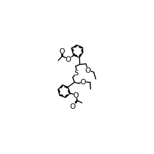 CCOCC(CSCC(COCC)c1ccccc1OC(C)=O)c1ccccc1OC(C)=O